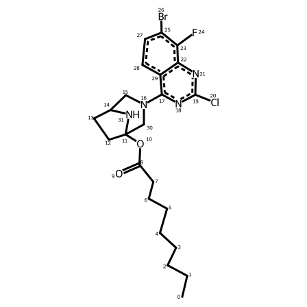 CCCCCCCCC(=O)OC12CCC(CN(c3nc(Cl)nc4c(F)c(Br)ccc34)C1)N2